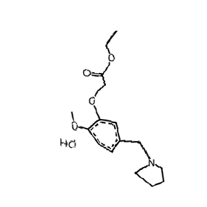 CCOC(=O)COc1cc(CN2CCCC2)ccc1OC.Cl